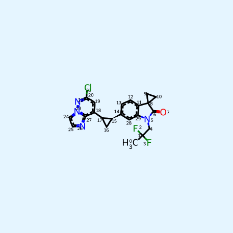 CC(F)(F)CN1C(=O)C2(CC2)c2ccc([C@H]3CC3c3cc(Cl)nn4ccnc34)cc21